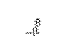 COC(=O)c1ccc(N2CCc3ccccc3C2)cc1O